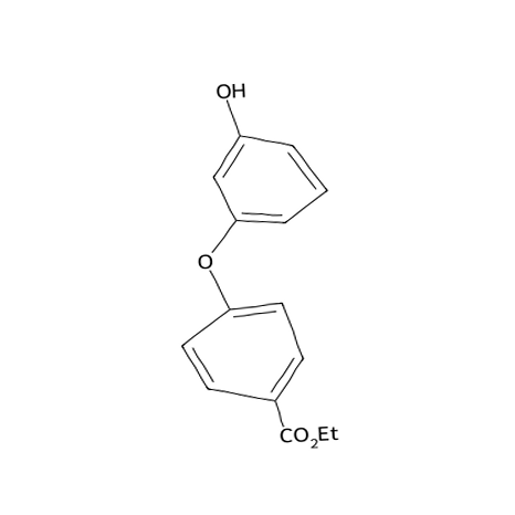 CCOC(=O)c1ccc(Oc2cccc(O)c2)cc1